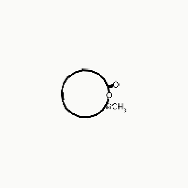 C[C@@H]1CCCCCCC=CCCCCCCCC(=O)O1